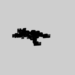 CCCCOC(=O)OC(C)CC(c1ccc(OC(=O)OCC(C)(C)C)c(OC(=O)OCC(C)(C)C)c1)[C@H](N)C(=O)O